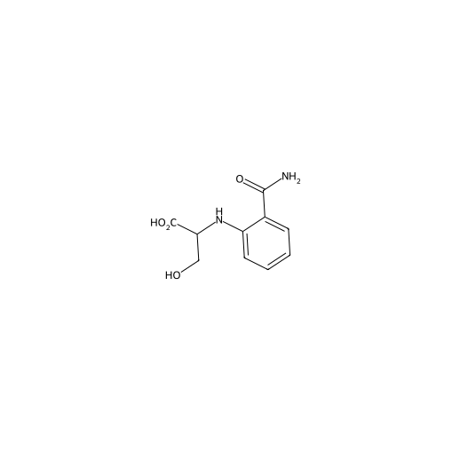 NC(=O)c1ccccc1NC(CO)C(=O)O